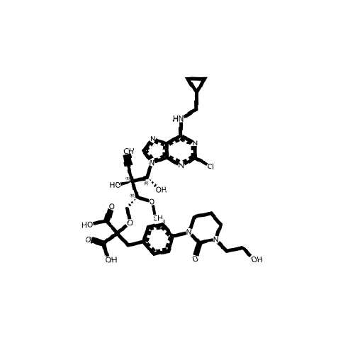 C#C[C@@](O)([C@@H](COC(Cc1ccc(N2CCCN(CCO)C2=O)cc1)(C(=O)O)C(=O)O)OC)[C@@H](O)n1cnc2c(NCC3CC3)nc(Cl)nc21